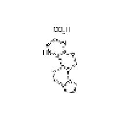 O=C(O)c1c[nH]c2c(ccc3c4cccc4ccc32)n1